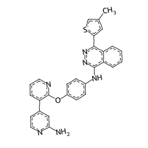 Cc1csc(-c2nnc(Nc3ccc(Oc4ncccc4-c4ccnc(N)c4)cc3)c3ccccc23)c1